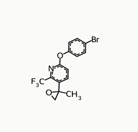 CC1(c2ccc(Oc3ccc(Br)cc3)nc2C(F)(F)F)CO1